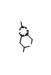 CC1Cc2nc(N)sc2CN1